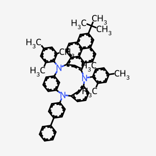 Cc1cc(C)c(N2c3cccc(c3)N(c3ccc(-c4ccccc4)cc3)c3cccc(c3)N(c3c(C)cc(C)cc3C)c3cc2c2ccc4cc(C(C)(C)C)cc5ccc3c2c45)c(C)c1